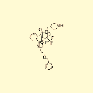 O=C(OCC1CCNCC1)N(OC(=O)C(F)(F)F)c1ccccc1-c1nc(CCOCc2ccccc2)cs1